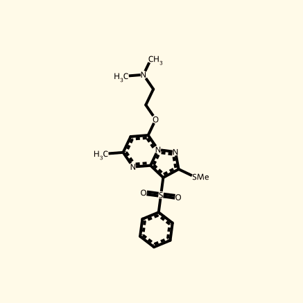 CSc1nn2c(OCCN(C)C)cc(C)nc2c1S(=O)(=O)c1ccccc1